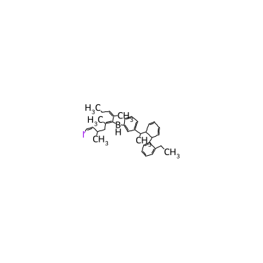 CC/C=C(C)\C(Bc1cccc(C(C)C2C=CC=CC2c2ccccc2CC)c1)=C(/C)CC(C)/C=C\I